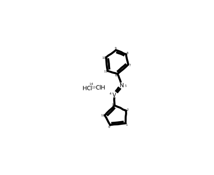 C1=CC[C]([V]=[N]c2ccccc2)=C1.Cl.Cl